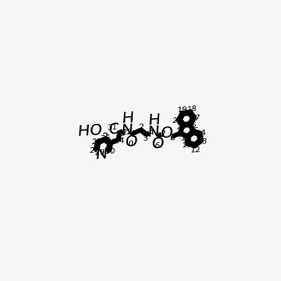 O=C(CCNC(=O)OCC1c2ccccc2-c2ccccc21)N[C@H](Cc1cccnc1)C(=O)O